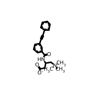 C[N+](C)(C)CC(CC(=O)[O-])NC(=O)c1cccc(C#Cc2ccccc2)c1